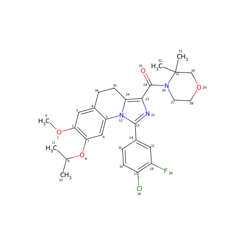 COc1cc2c(cc1OC(C)C)-n1c(-c3ccc(Cl)c(F)c3)nc(C(=O)N3CCOCC3(C)C)c1CC2